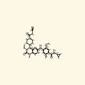 CC[C@@H]1C(=O)N(C)c2cnc(Nc3cc(F)c(C(=O)NC4CC4)cc3OC)nc2N1C1CCN(C(=O)CC#N)CC1